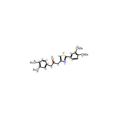 COc1ccc(-c2nc(CC(=O)Cc3ccc(OC(C)=O)c(OC(C)=O)c3)cs2)cc1OC